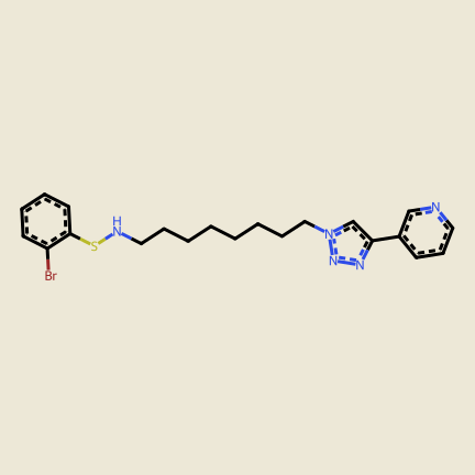 Brc1ccccc1SNCCCCCCCCn1cc(-c2cccnc2)nn1